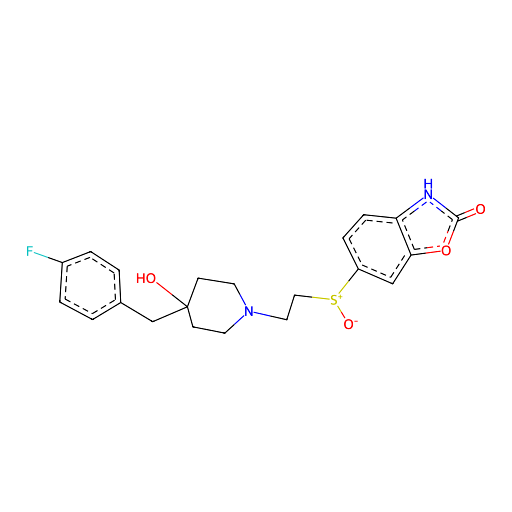 O=c1[nH]c2ccc([S+]([O-])CCN3CCC(O)(Cc4ccc(F)cc4)CC3)cc2o1